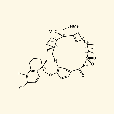 CNC[C@]1(OC)C2=C[C@@H](C2)[C@H](C)[C@@H](C)S(=O)(=O)NC(=O)c2ccc3c(c2)N(C[C@@H]2CC[C@H]21)C[C@@]1(CCCc2c1ccc(Cl)c2F)CO3